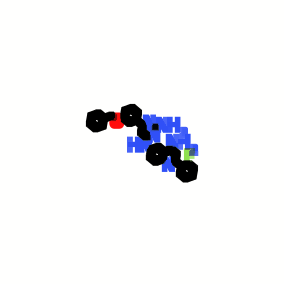 Nc1nc(Nc2ccc3nc(-c4ccccc4F)cc(N)c3c2)cc(-c2cccc(OCc3ccccc3)c2)n1